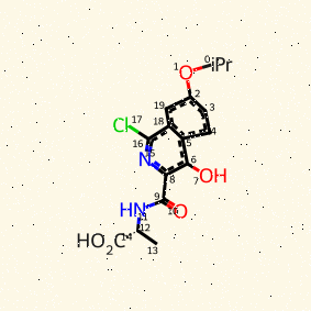 CC(C)Oc1ccc2c(O)c(C(=O)N[C@H](C)C(=O)O)nc(Cl)c2c1